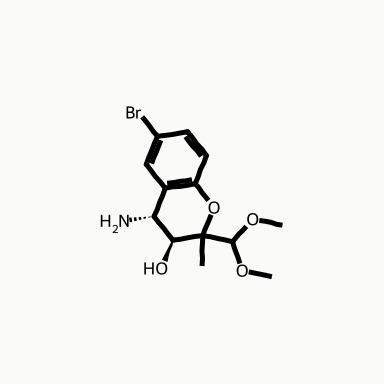 COC(OC)C1(C)Oc2ccc(Br)cc2[C@@H](N)[C@@H]1O